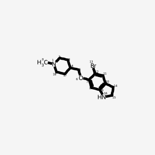 CN1CCC(COc2cc3c(cc2Br)CCN3)CC1